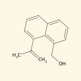 C=C(C)c1cccc2cccc(CO)c12